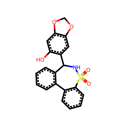 O=S1(=O)NC(c2cc3c(cc2O)OCO3)c2ccccc2-c2ccccc21